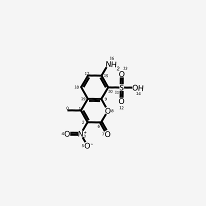 Cc1c([N+](=O)[O-])c(=O)oc2c(S(=O)(=O)O)c(N)ccc12